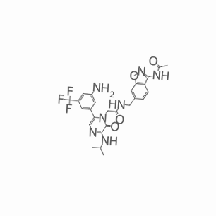 CC(=O)Nc1noc2cc(CNC(=O)Cn3c(-c4cc(N)cc(C(F)(F)F)c4)cnc(NC(C)C)c3=O)ccc12